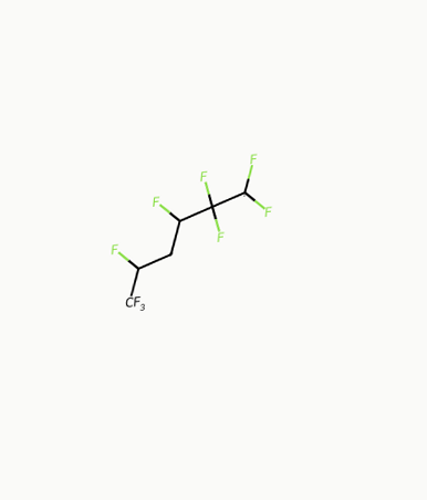 F[C](F)C(F)(F)C(F)CC(F)C(F)(F)F